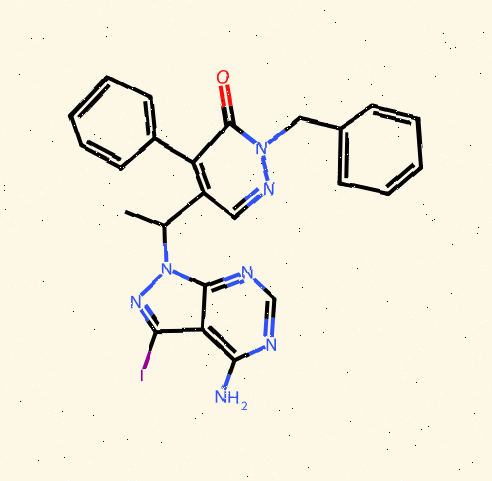 CC(c1cnn(Cc2ccccc2)c(=O)c1-c1ccccc1)n1nc(I)c2c(N)ncnc21